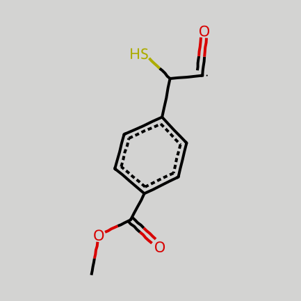 COC(=O)c1ccc(C(S)[C]=O)cc1